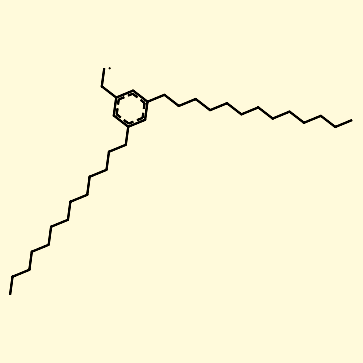 [CH2]Cc1cc(CCCCCCCCCCCCC)cc(CCCCCCCCCCCCC)c1